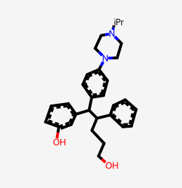 CC(C)N1CCN(c2ccc(C(c3cccc(O)c3)C(CCCO)c3ccccc3)cc2)CC1